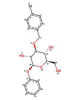 CCc1ccc(CO[C@@H]2[C@@H](O)[C@H](Oc3ccccc3)O[C@H](CO)[C@H]2O)cc1